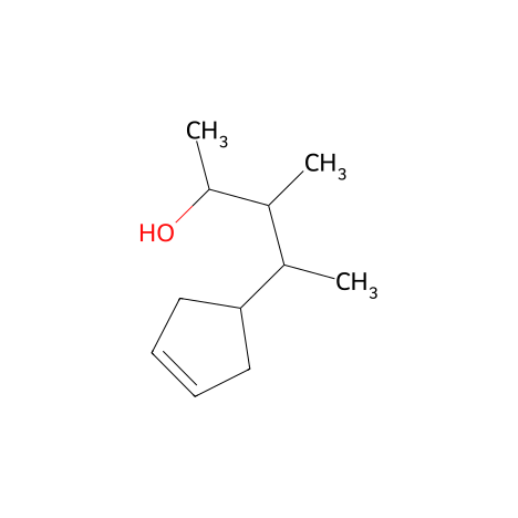 CC(O)C(C)C(C)C1CC=CC1